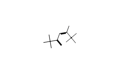 C=C(/C=C(/C)C(C)(C)C)C(C)(C)C